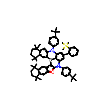 CC(C)(C)c1ccc(N2c3cc4c(cc3B3c5c2cc(-c2ccccc2S(C)(C)C)cc5N(c2ccc(C(C)(C)C)cc2)c2oc5cc6c(cc5c23)C(C)(C)CCC6(C)C)C(C)(C)CCC4(C)C)cc1